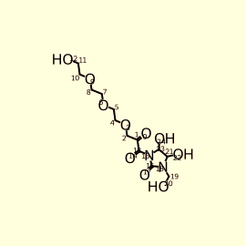 O=C(COCCOCCOCCO)C(=O)N1C(=O)N(CO)C(O)C1O